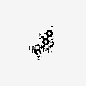 O=c1nc(N2CCN[C@H]3C[S+]([O-])C[C@H]32)c2cc(C(F)(F)F)c(-c3ccc(F)cc3F)c3c2n1CCS3